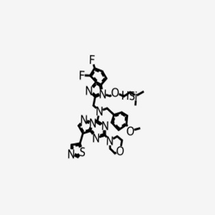 COc1ccc(CN(Cc2nc3c(F)c(F)ccc3n2COCC[SiH](C)C)c2nc(N3CCOCC3)nc3c(-c4cncs4)cnn23)cc1